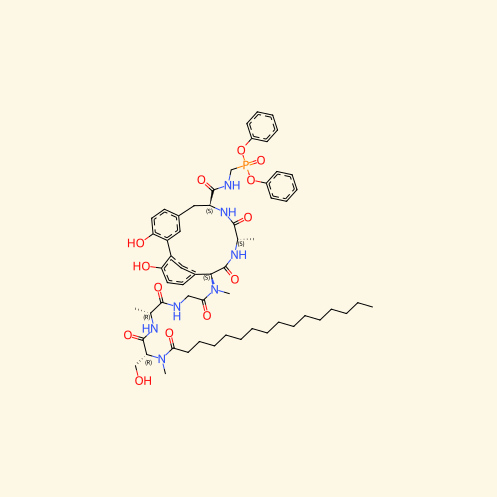 CCCCCCCCCCCCCCCC(=O)N(C)[C@H](CO)C(=O)N[C@H](C)C(=O)NCC(=O)N(C)[C@@H]1C(=O)N[C@@H](C)C(=O)N[C@H](C(=O)NCP(=O)(Oc2ccccc2)Oc2ccccc2)Cc2ccc(O)c(c2)-c2cc1ccc2O